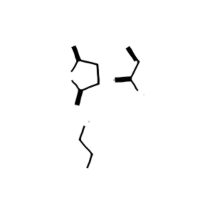 C=CC(=O)O.O=C1CCC(=O)O1.OCCO